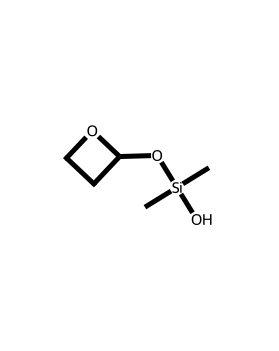 C[Si](C)(O)OC1CCO1